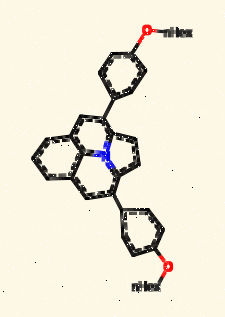 CCCCCCOc1ccc(-c2cc3cccc4cc(-c5ccc(OCCCCCC)cc5)c5ccc2n5c34)cc1